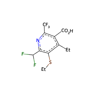 CCSc1c(C(F)F)nc(C(F)(F)F)c(C(=O)O)c1CC